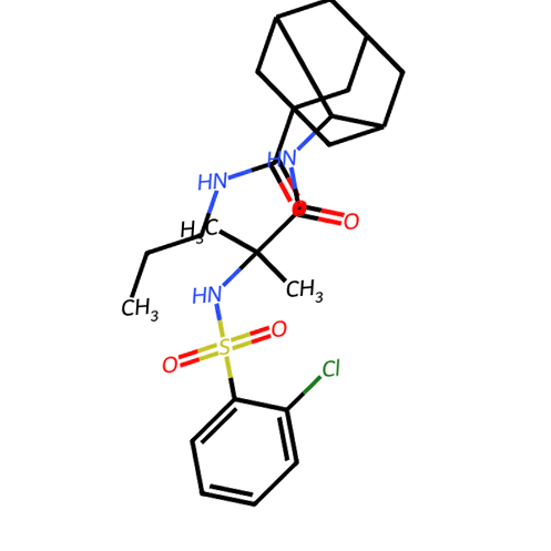 CCCNC(=O)C12CC3CC(C1)C(NC(=O)C(C)(C)NS(=O)(=O)c1ccccc1Cl)C(C3)C2